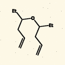 C=CCC(CC)OC(CC)CC=C